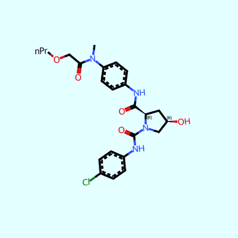 CCCOCC(=O)N(C)c1ccc(NC(=O)[C@H]2C[C@@H](O)CN2C(=O)Nc2ccc(Cl)cc2)cc1